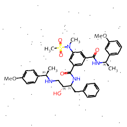 COc1ccc([C@@H](C)NC[C@@H](O)[C@H](Cc2ccccc2)NC(=O)c2cc(C(=O)N[C@H](C)c3cccc(OC)c3)cc(N(C)S(C)(=O)=O)c2)cc1